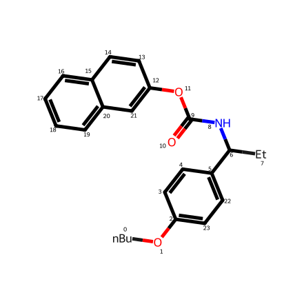 CCCCOc1ccc(C(CC)NC(=O)Oc2ccc3ccccc3c2)cc1